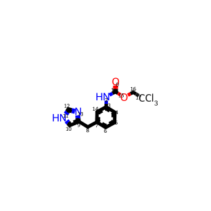 O=C(Nc1cccc(Cc2c[nH]cn2)c1)OCC(Cl)(Cl)Cl